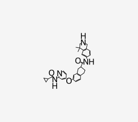 CC1(C)CNCc2ccc(NC(=O)C3CCc4ccc(Oc5ccnc(NC(=O)C6CC6)c5)cc4C3)cc21